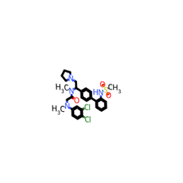 CN(CC(=O)N(C)C(CN1CCCC1)c1ccc(-c2ccccc2NS(C)(=O)=O)cc1)c1ccc(Cl)c(Cl)c1